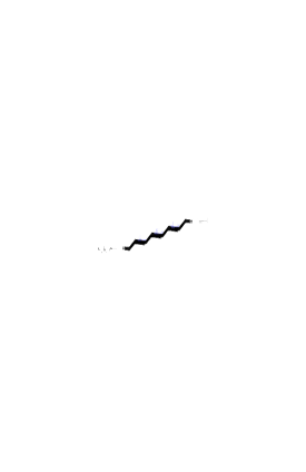 COC/C=C/C=C/C=C/CO